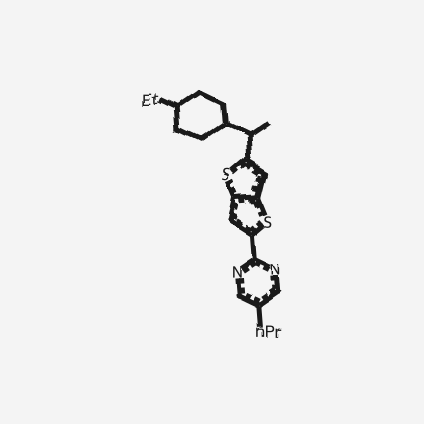 CCCc1cnc(-c2cc3sc(C(C)C4CCC(CC)CC4)cc3s2)nc1